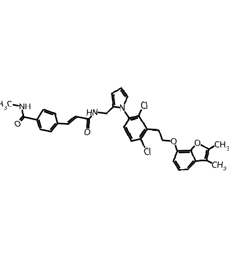 CNC(=O)c1ccc(C=CC(=O)NCc2cccn2-c2ccc(Cl)c(CCOc3cccc4c(C)c(C)oc34)c2Cl)cc1